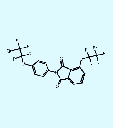 O=C1c2cccc(OC(F)(F)C(F)(F)Br)c2C(=O)N1c1ccc(OC(F)(F)C(F)(F)Br)cc1